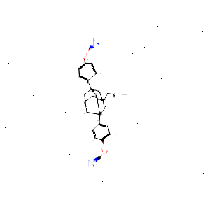 CCC12CC3CC(c4ccc(OC#N)cc4)(C1)CC(c1ccc(OC#N)cc1)(C3)C2